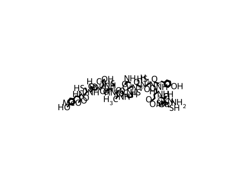 COC(=O)CCC(N[C@@H](CS)C(=O)C(=O)[C@H](CS)NN)C(=O)N[C@@H](Cc1ccc(O)cc1)C(=O)N[C@@H](CS)C(=O)N[C@@H](CS)C(=O)N[C@@H](CC(N)=O)C(=O)N1CCC[C@H]1C(=O)NC(C)C(=O)N[C@@H](CS)C(=O)N[C@H](C(=O)NCC(=O)NC(CS)C(=O)NC(Cc1ccc(O)cc1)C(=O)OC)[C@@H](C)O